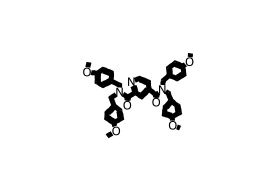 COc1ccc(CN(Cc2ccc(OC)cc2)C(=O)c2ccnc(C(=O)N(Cc3ccc(OC)cc3)Cc3ccc(OC)cc3)c2)cc1